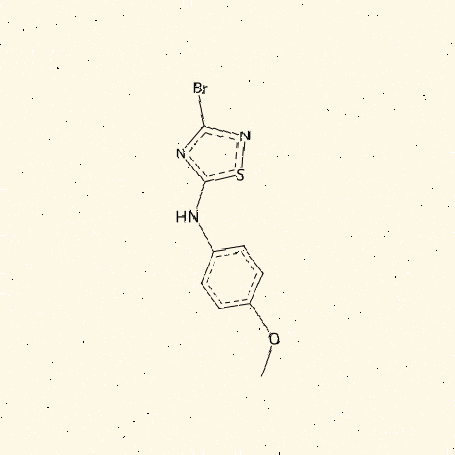 COc1ccc(Nc2nc(Br)ns2)cc1